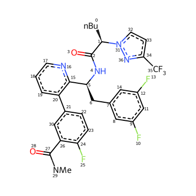 CCCC[C@H](C(=O)N[C@@H](Cc1cc(F)cc(F)c1)c1ncccc1-c1ccc(F)c(C(=O)NC)c1)n1ccc(C(F)(F)F)n1